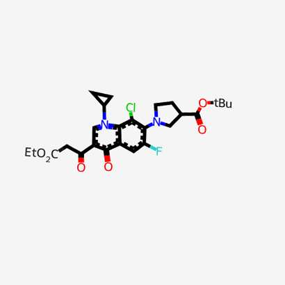 CCOC(=O)CC(=O)c1cn(C2CC2)c2c(Cl)c(N3CCC(C(=O)OC(C)(C)C)C3)c(F)cc2c1=O